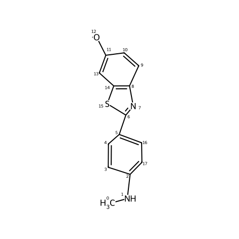 CNc1ccc(-c2nc3ccc([O])cc3s2)cc1